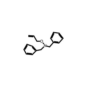 C=CCON(Cc1ccccc1)Cc1ccccc1